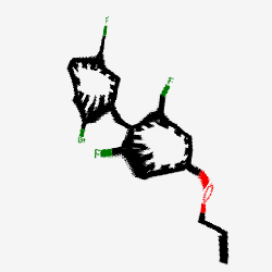 C=CCOc1cc(F)c(-c2cc(F)c[c]c2Br)c(F)c1